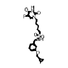 O=c1[nH]c(=O)n(CCCCCS(=O)(=O)NCc2cccc(OCC3CC3)c2)cc1F